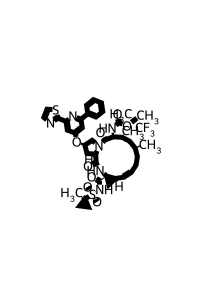 C[C@@H]1CC/C=C\[C@@H]2C[C@@]2(C(=O)NS(=O)(=O)C2(C)CC2)NC(=O)[C@@H]2C[C@@H](Oc3cc(-c4ccccc4)nc(-c4nccs4)c3)CN2C(=O)[C@@H](NC(=O)OC(C)(C)C(F)(F)F)[C@H](C)C1